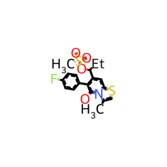 CCC(OS(C)(=O)=O)c1cc2scc(C)n2c(=O)c1-c1ccc(F)cc1